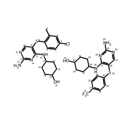 Cc1cc(Cl)ccc1Sc1cnc(N)nc1NC1CCC(O)CC1.Nc1ncc(Sc2ccc(C(F)(F)F)cc2)c(NC2CCC(O)CC2)n1